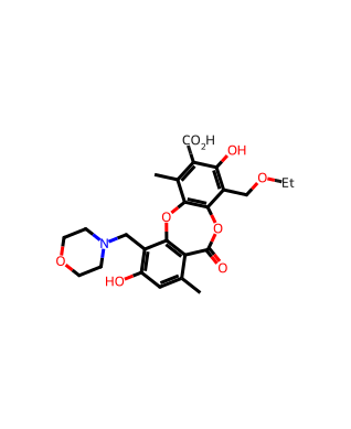 CCOCc1c(O)c(C(=O)O)c(C)c2c1OC(=O)c1c(C)cc(O)c(CN3CCOCC3)c1O2